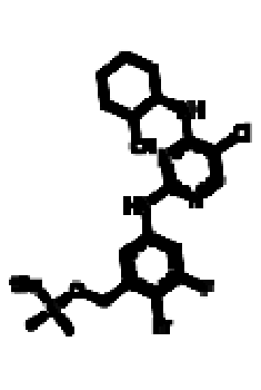 CC(C)(C)[Si](C)(C)OCc1cc(Nc2ncc(Cl)c(NC3CCCCC3C#N)n2)cc(F)c1Br